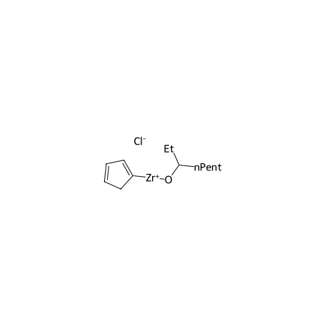 CCCCCC(CC)[O][Zr+][C]1=CC=CC1.[Cl-]